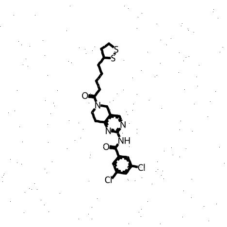 O=C(Nc1ncc2c(n1)CCN(C(=O)CCCCC1CCSS1)C2)c1cc(Cl)cc(Cl)c1